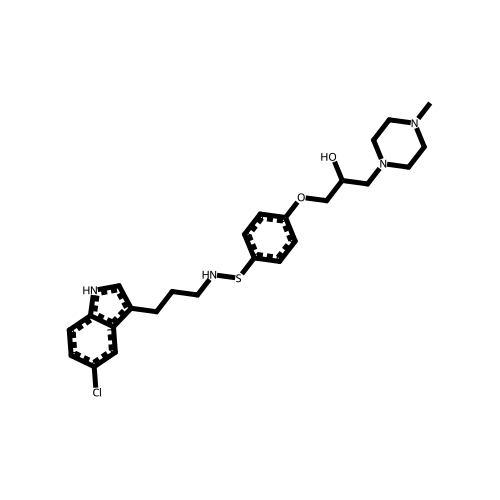 CN1CCN(CC(O)COc2ccc(SNCCCc3c[nH]c4ccc(Cl)cc34)cc2)CC1